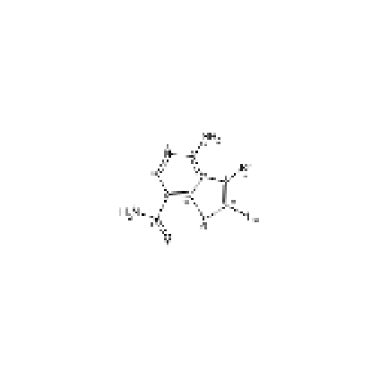 NC(=O)c1cnc(N)c2c(Br)c(I)sc12